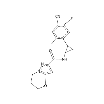 Cc1cc(C#N)c(F)cc1C1CC1NC(=O)c1cc2n(n1)CCCO2